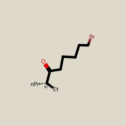 CCC[C@@H](CC)C(=O)CCCCCBr